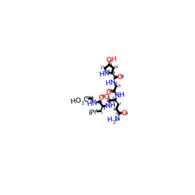 CC(C)C[C@H](NC(=O)[C@H](CCC(N)=O)NC(=O)CNC(=O)[C@@H]1C[C@@H](O)CN1)C(=O)NCC(=O)O